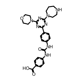 O=C(Nc1ccc(C(=O)O)cc1)Nc1ccc(-c2nc(N3CCCNCC3)nc(N3CCOCC3)n2)cc1